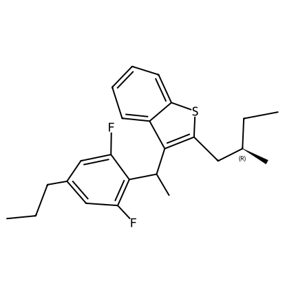 CCCc1cc(F)c(C(C)c2c(C[C@H](C)CC)sc3ccccc23)c(F)c1